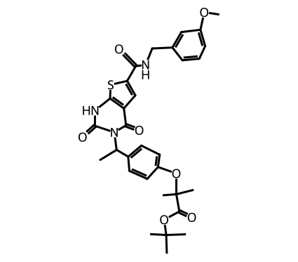 COc1cccc(CNC(=O)c2cc3c(=O)n(C(C)c4ccc(OC(C)(C)C(=O)OC(C)(C)C)cc4)c(=O)[nH]c3s2)c1